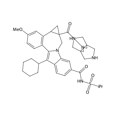 COc1ccc2c(c1)C1CC1(C(=O)N1CC34CNCC3(CNC4)C1)Cn1c-2c(C2CCCCC2)c2ccc(C(=O)NS(=O)(=O)C(C)C)cc21